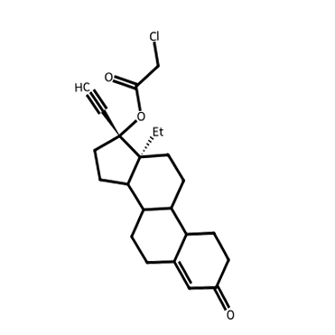 C#C[C@]1(OC(=O)CCl)CCC2C3CCC4=CC(=O)CCC4C3CC[C@@]21CC